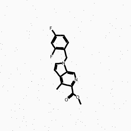 COC(=O)c1ncc2c(ccn2Cc2ccc(F)cc2F)c1C